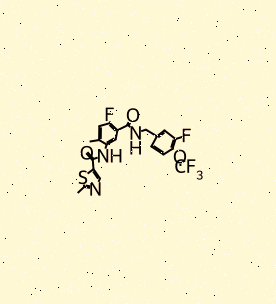 Cc1ncc(C(=O)Nc2cc(C(=O)NCc3ccc(OC(F)(F)F)c(F)c3)c(F)cc2C)s1